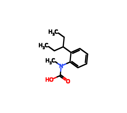 CCC(CC)c1ccccc1N(C)C(=O)O